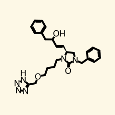 O=C1N(Cc2ccccc2)C[C@H](/C=C/C(O)Cc2ccccc2)N1CCCCOCc1nnn[nH]1